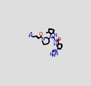 Cc1cccc2nc(NC(=O)c3cccc(-n4cnnn4)c3)n(C3CCCCN(C(=O)C=CCN(C)C)C3)c12